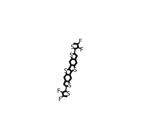 Fc1csc(-c2cc3cc4sc5c6cc7sc(-c8scc(F)c8F)cc7cc6sc5c4cc3s2)c1F